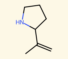 C=C(C)C1CCCN1